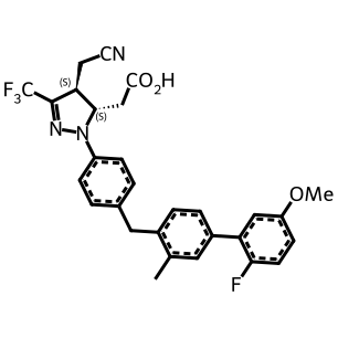 COc1ccc(F)c(-c2ccc(Cc3ccc(N4N=C(C(F)(F)F)[C@@H](CC#N)[C@@H]4CC(=O)O)cc3)c(C)c2)c1